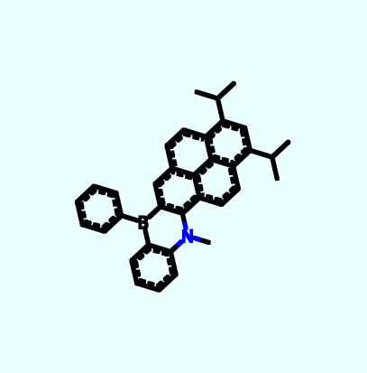 CC(C)c1cc(C(C)C)c2ccc3c4c(cc5ccc1c2c53)B(c1ccccc1)c1ccccc1N4C